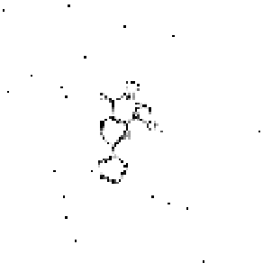 CN(C)c1nc(-c2ccccc2)ncc1C(=O)NN